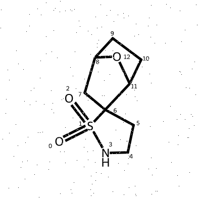 O=S1(=O)NCCC12CC1CCC2O1